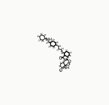 O=C1CCC(N2C(=O)c3cccc(SCCCc4ccc(CNC5CCCCC5)cc4)c3C2=O)C(=O)N1